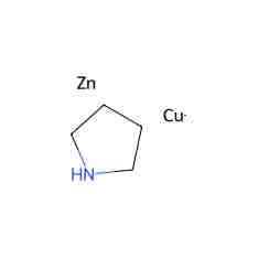 C1CCNC1.[Cu].[Zn]